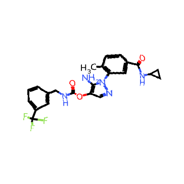 Cc1ccc(C(=O)NC2CC2)cc1-n1ncc(OC(=O)NCc2cccc(C(F)(F)F)c2)c1N